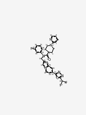 O=C(C1CCN(c2ccccn2)CC1)N(Cc1cn2ccc(-c3nnc(C(F)F)o3)cc2n1)c1cccc(F)c1